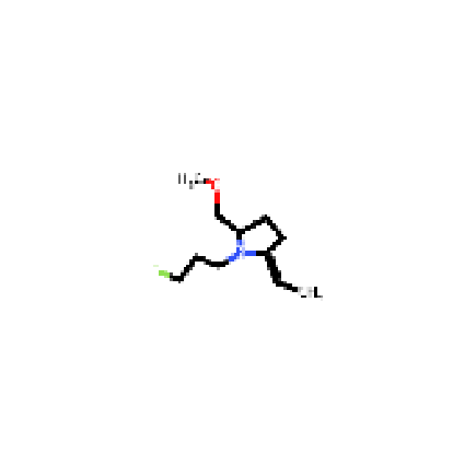 C/C=C1\CCC(COC)N1CCCF